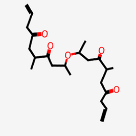 C=CCC(=O)CC(C)C(=O)CC(C)OC(C)CC(=O)C(C)CC(=O)CC=C